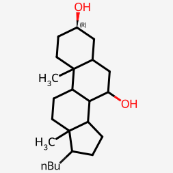 CCCCC1CCC2C3C(O)CC4C[C@H](O)CCC4(C)C3CCC12C